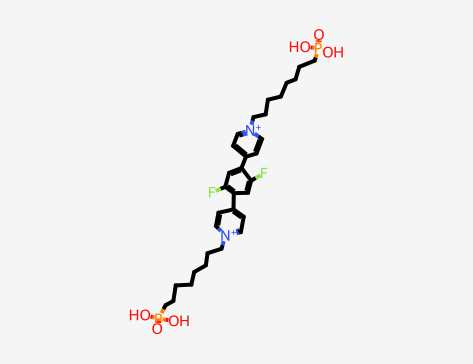 O=P(O)(O)CCCCCCCC[n+]1ccc(-c2cc(F)c(-c3cc[n+](CCCCCCCCP(=O)(O)O)cc3)cc2F)cc1